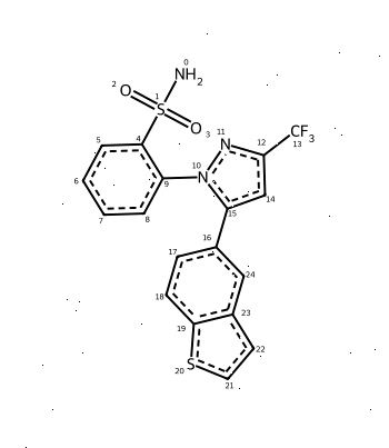 NS(=O)(=O)c1ccccc1-n1nc(C(F)(F)F)cc1-c1ccc2sccc2c1